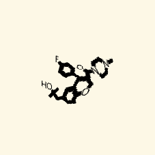 CN1CCN(C(=O)C2=C(c3ccc(F)cc3)c3cc(CC(C)(C)O)ccc3OC2)CC1